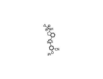 CC(C)Oc1ccc(-c2ncc(-c3cccc4c3CCC4NS(=O)(=O)C3CC3)s2)cc1C#N